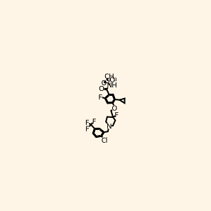 CS(=O)(=O)NC(=O)c1cc(C2CC2)c(OCC2(F)CCN(Cc3cc(C(F)(F)F)ccc3Cl)CC2)cc1F